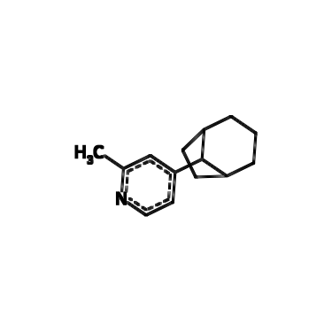 Cc1cc(C2C3CCCC2CC3)ccn1